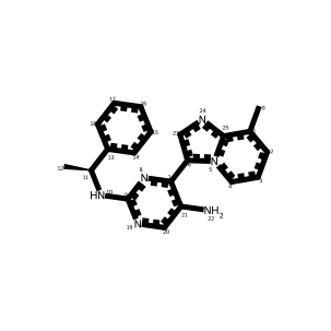 Cc1cccn2c(-c3nc(N[C@@H](C)c4ccccc4)ncc3N)cnc12